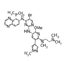 COc1nc(N(C)CCN(C)C)c(-c2cnn(C)c2)cc1Nc1ncc(Br)c(Nc2ccc3nccnc3c2P(C)C)n1